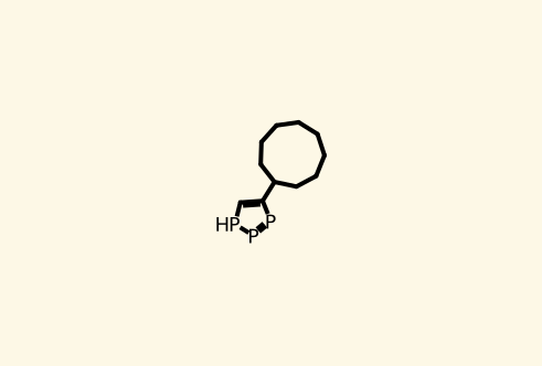 c1[pH]ppc1C1CCCCCCCC1